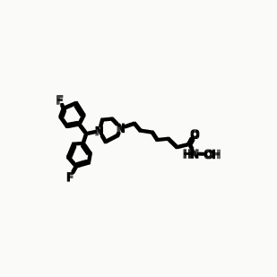 O=C(CCCCCCN1CCN(C(c2ccc(F)cc2)c2ccc(F)cc2)CC1)NO